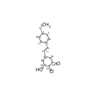 CCc1ccc(/C=C/c2cc(O)c(Cl)c(Cl)c2)cc1